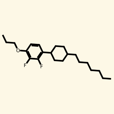 CCCCCCCC1CCC(c2ccc(OCCC)c(F)c2F)CC1